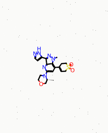 C[C@@H]1COCCN1c1cc(C2=CCS(=O)(=O)CC2)c2c(n1)c(-c1ccn[nH]1)nn2C